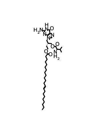 CCCCCCCC/C=C/CCCCCCCCCCCC(=O)OCC[C@@H](COC(=O)[C@@H](N)C(C)C)Cn1cnc2c(=O)[nH]c(N)nc21